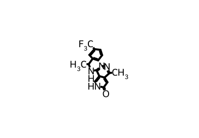 Cc1nnc(NC(C)c2cccc(C(F)(F)F)c2)c2c[nH]c(=O)cc12